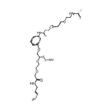 CC(C)/C=C/CNC(=O)COCCOC(COc1cccc(NC(=O)CCOCCOCCN[C@H](C)I)c1)SSC(C)(C)C